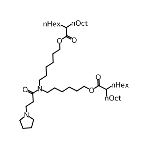 CCCCCCCCC(CCCCCC)C(=O)OCCCCCCN(CCCCCCOC(=O)C(CCCCCC)CCCCCCCC)C(=O)CCN1CCCC1